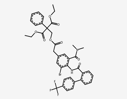 CCOC(=O)C(COC(=O)Cc1cc(Br)c(NC(=O)c2ccccc2-c2ccc(C(F)(F)F)cc2)c(C(=O)N(C)C)c1)(C(=O)OCC)c1ccccc1